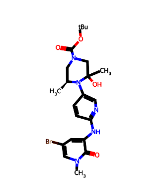 C[C@H]1CN(C(=O)OC(C)(C)C)CC(C)(O)N1c1ccc(Nc2cc(Br)cn(C)c2=O)nc1